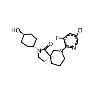 O=C1N([C@H]2CC[C@H](O)CC2)CC[C@]12CCCN(c1ncc(Cl)cc1F)C2